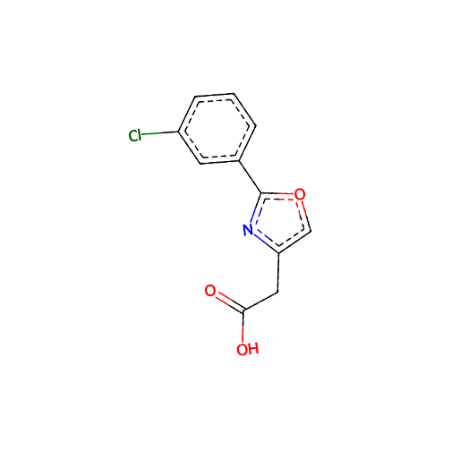 O=C(O)Cc1coc(-c2cccc(Cl)c2)n1